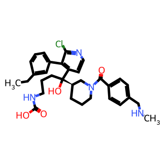 CCc1cccc(-c2c(C(O)(CCCNC(=O)O)[C@@H]3CCCN(C(=O)c4ccc(CNC)cc4)C3)ccnc2Cl)c1